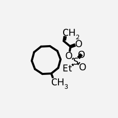 C=CC(=O)OS(=O)(=O)CC.CC1CCCCCCCCC1